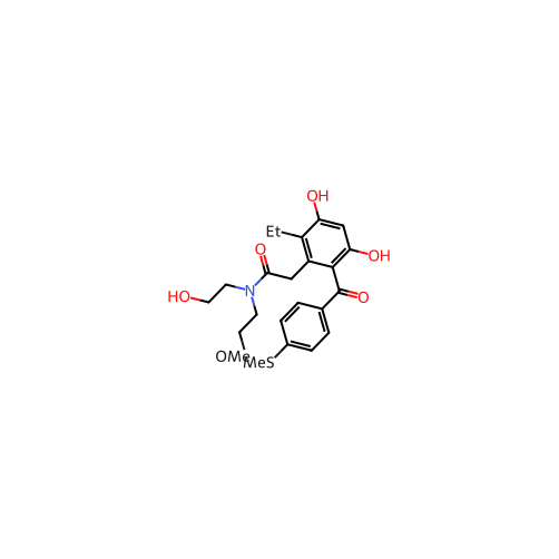 CCc1c(O)cc(O)c(C(=O)c2ccc(SC)cc2)c1CC(=O)N(CCO)CCOC